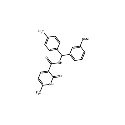 CNc1cccc(C(NC(=O)c2ccc(C(F)(F)F)[nH]c2=O)c2ccc(C)cc2)c1